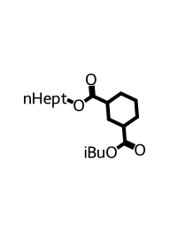 CCCCCCCOC(=O)C1CCCC(C(=O)OCC(C)C)C1